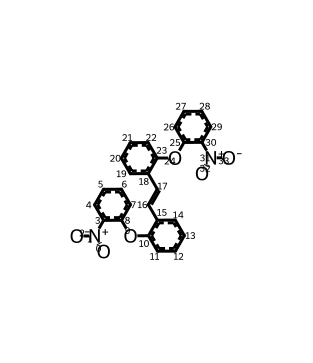 O=[N+]([O-])c1ccccc1Oc1ccccc1/C=C/c1ccccc1Oc1ccccc1[N+](=O)[O-]